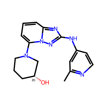 Cc1cc(Nc2nc3cccc(N4CCC[C@@H](O)C4)n3n2)ccn1